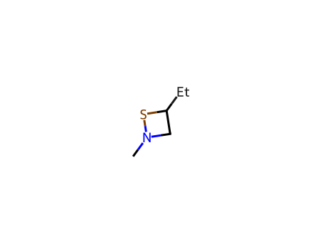 CCC1CN(C)S1